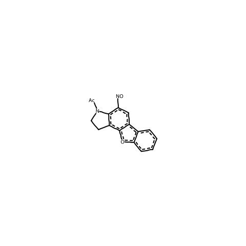 CC(=O)N1CCc2c1c(N=O)cc1c2oc2ccccc21